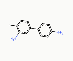 Cc1ccc(-c2ccc(N)cc2)cc1N